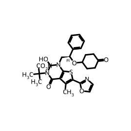 Cc1c(-c2ncco2)sc2c1C(=O)N(C(C)(C)C(=O)O)C(O)N2C[C@H](OC1CCC(=O)CC1)c1ccccc1